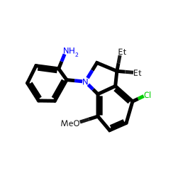 CCC1(CC)CN(c2ccccc2N)c2c(OC)ccc(Cl)c21